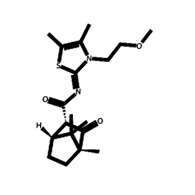 COCCn1c(C)c(C)sc1=NC(=O)[C@@H]1C(=O)[C@]2(C)CC[C@H]1C2(C)C